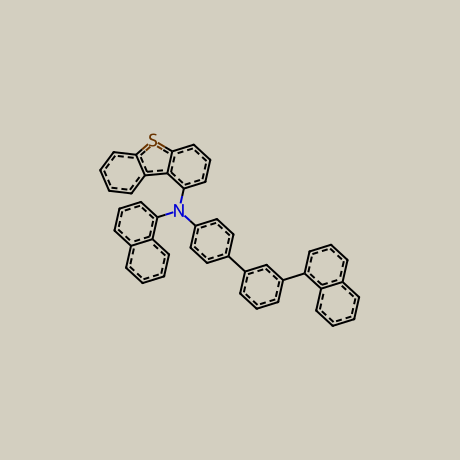 c1cc(-c2ccc(N(c3cccc4ccccc34)c3cccc4sc5ccccc5c34)cc2)cc(-c2cccc3ccccc23)c1